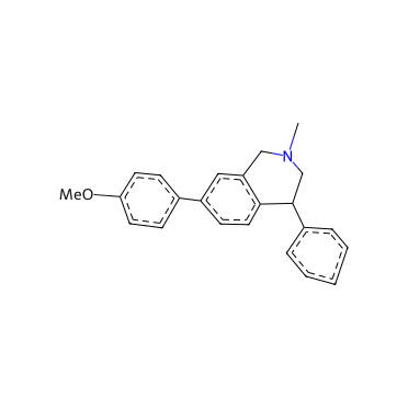 COc1ccc(-c2ccc3c(c2)CN(C)CC3c2ccccc2)cc1